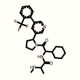 CNC(C)C(=O)NC(C(=O)N1CCCC1c1cncc(-c2ccccc2C(F)(F)F)c1)C1CCCCC1